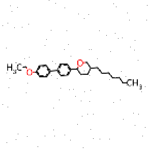 CCCCCCCC1CCC(c2ccc(-c3ccc(OCC)cc3)cc2)OC1